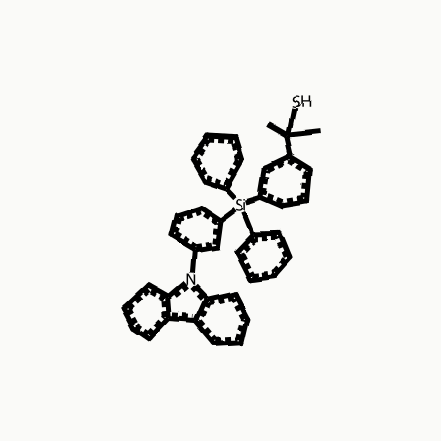 CC(C)(S)c1cccc([Si](c2ccccc2)(c2ccccc2)c2cccc(-n3c4ccccc4c4ccccc43)c2)c1